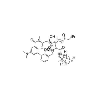 COc1c(CN2O[C@@H](CO)[C@@H]([C@H](C)OC(=O)CC(C)C)C2C(=O)N[C@H]2C[C@H]3C[C@@H]([C@@H]2C)C3(C)C)cccc1-c1cc(C(=O)N(C)C(=O)CC(C)C)cc(N(C)C)c1